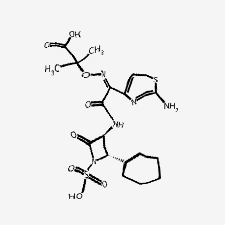 CC(C)(O/N=C(\C(=O)N[C@@H]1C(=O)N(S(=O)(=O)O)[C@H]1C1CCCCC1)c1csc(N)n1)C(=O)O